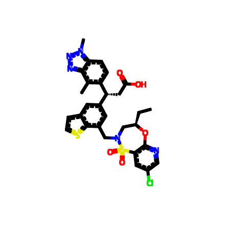 CC[C@@H]1CN(Cc2cc([C@@H](CC(=O)O)c3ccc4c(nnn4C)c3C)cc3ccsc23)S(=O)(=O)c2cc(Cl)cnc2O1